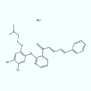 CN(C)CCOc1cc(Cl)c(Cl)cc1Oc1ncccc1C(=O)/C=C/C=C/c1ccccc1.Cl